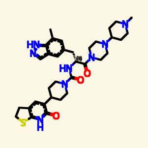 Cc1cc(C[C@@H](NC(=O)N2CCC(c3cc4c([nH]c3=O)SCC4)CC2)C(=O)N2CCN(C3CCN(C)CC3)CC2)cc2cn[nH]c12